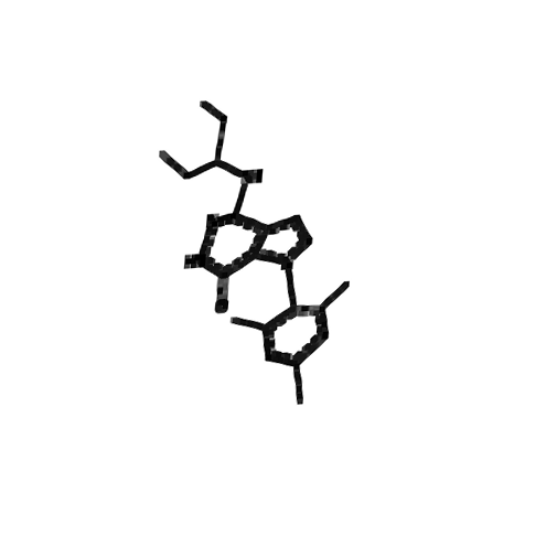 CCC(CC)Nc1n[nH]c(=O)c2c1ccn2-c1c(C)cc(C)cc1C